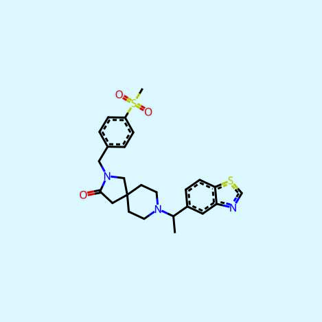 CC(c1ccc2scnc2c1)N1CCC2(CC1)CC(=O)N(Cc1ccc(S(C)(=O)=O)cc1)C2